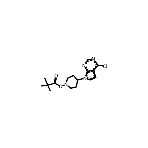 CC(C)(C)C(=O)ON1CCC(n2ccc3c(Cl)ncnc32)CC1